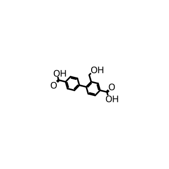 O=C(O)c1ccc(-c2ccc(C(=O)O)cc2CO)cc1